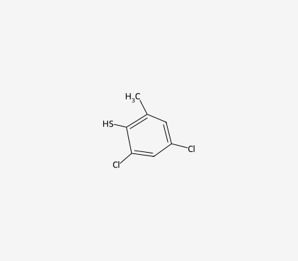 Cc1cc(Cl)cc(Cl)c1S